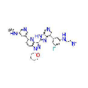 CC(C)Nc1cncc(-c2ccc3c(n2)c(-c2nc4c(-c5cc(F)cc(NCCN(C)C)c5)cncc4[nH]2)nn3C2CCCCO2)c1